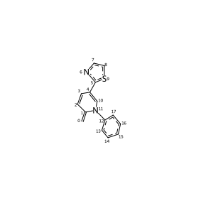 C=C1C=CC(c2nccs2)=CN1c1ccccc1